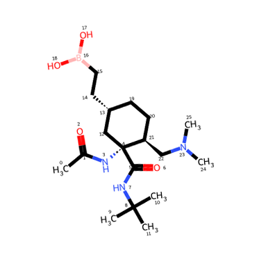 CC(=O)N[C@]1(C(=O)NC(C)(C)C)C[C@H](CCB(O)O)CC[C@H]1CN(C)C